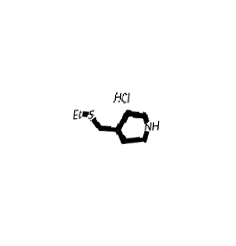 CCSCC1CCNCC1.Cl